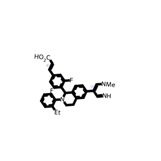 CCc1ccccc1N1CCc2cc(/C(C=N)=C/NC)ccc2C1c1c(F)cc(/C=C/C(=O)O)cc1F